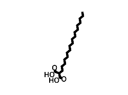 CCCCCCCCCCCCCCCCCCC(C(=O)O)C(=O)O